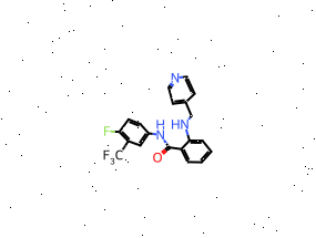 O=C(Nc1ccc(F)c(C(F)(F)F)c1)c1ccccc1NCc1ccncc1